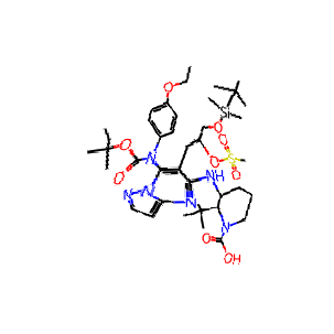 CCOc1ccc(N(C(=O)OC(C)(C)C)c2c(CC(CO[Si](C)(C)C(C)(C)C)OS(C)(=O)=O)c(NC3CCCN(C(=O)O)[C@H]3C(C)(C)C)nc3ccnn23)cc1